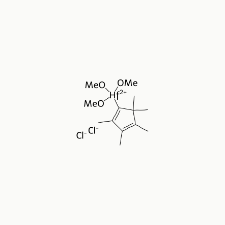 C[O][Hf+2]([O]C)([O]C)[C]1=C(C)C(C)=C(C)C1(C)C.[Cl-].[Cl-]